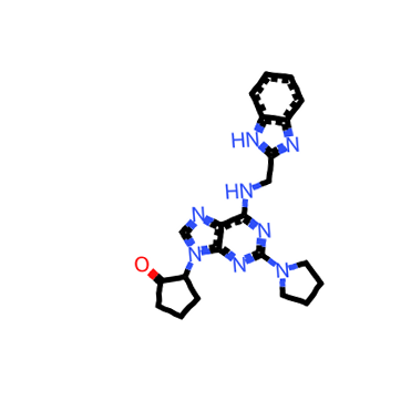 O=C1CCCC1n1cnc2c(NCc3nc4ccccc4[nH]3)nc(N3CCCC3)nc21